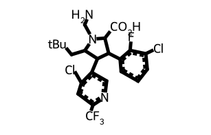 CC(C)(C)CC1C(c2cnc(C(F)(F)F)cc2Cl)C(c2cccc(Cl)c2F)C(C(=O)O)N1CN